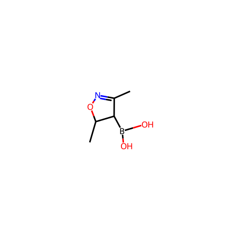 CC1=NOC(C)C1B(O)O